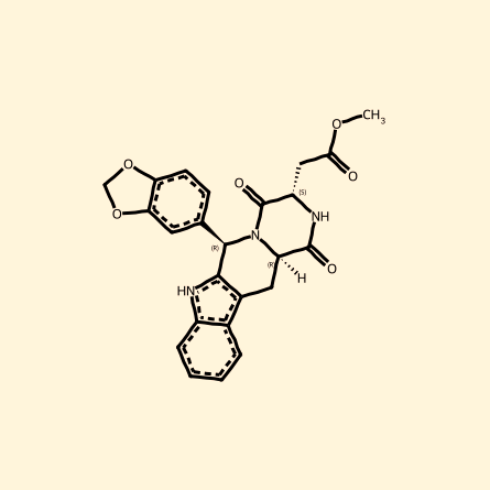 COC(=O)C[C@@H]1NC(=O)[C@H]2Cc3c([nH]c4ccccc34)[C@@H](c3ccc4c(c3)OCO4)N2C1=O